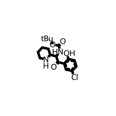 CC(C)(C)OC(=O)NC(C(=O)c1cc(Cl)ccc1O)C1CCCCN1